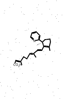 CC1=C(/C=C/C(C)=C/CC/C(C)=C/C(=O)O)[C@@](C)(c2ccccn2)CCC1